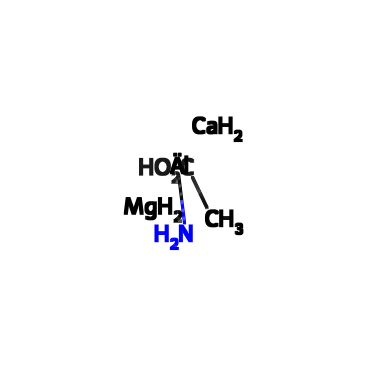 CC(=O)O.[CaH2].[MgH2].[NH2][Al]